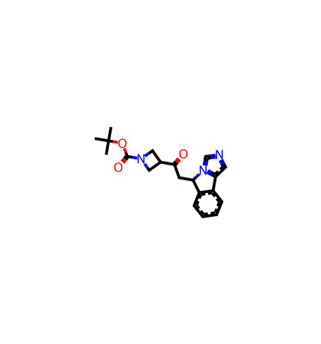 CC(C)(C)OC(=O)N1CC(C(=O)CC2c3ccccc3-c3cncn32)C1